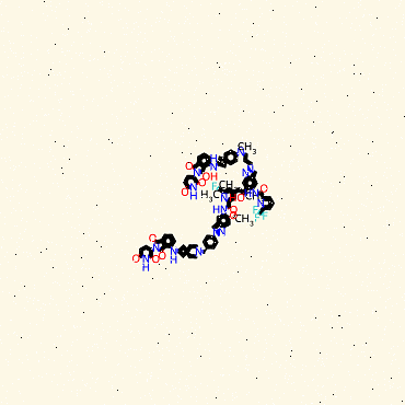 COc1cc2nn([C@H]3CC[C@H](CN4CCC5(CC4)CC(Nc4cccc6c4C(=O)N(C4CCC(=O)NC4=O)C6=O)C5)CC3)cc2cc1NC(=O)c1cc(CC(C)(O)c2cc3nn(CCCN(C)C4CCC5(CC4)CC(Nc4cccc6c4C(O)N(C4CCC(=O)NC4=O)C6=O)C5)cc3cc2NC(=O)c2cccc(C(F)(F)F)n2)cc(C(C)(C)F)n1